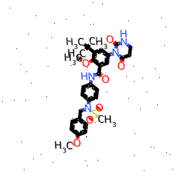 COc1ccc(CN(c2ccc(NC(=O)c3cc(N4C(=O)CCNC4=O)cc(C(C)(C)C)c3OC)cc2)S(C)(=O)=O)cc1